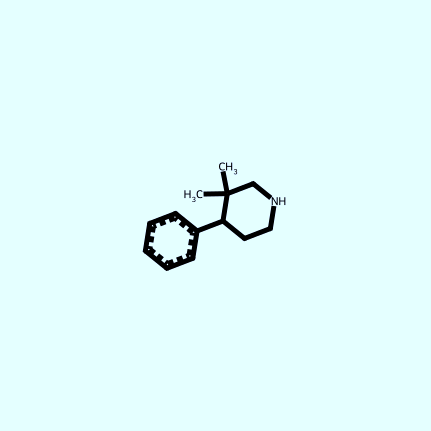 CC1(C)CNCCC1c1ccccc1